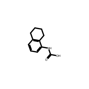 O=C(O)Nc1cccc2c1CCCC2